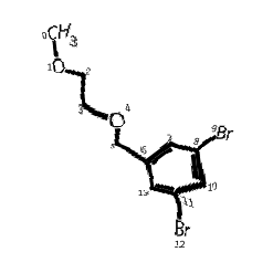 COCCOCc1cc(Br)cc(Br)c1